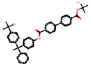 CCCC(C)(C)OC(=O)c1ccc(-c2ccc(C(=O)Oc3ccc(C(C)(c4ccccc4)c4ccc(C(C)(C)CC)cc4)cc3)cc2)cc1